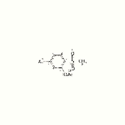 CC(=O)Oc1cc(C(C)=O)ccc1S(C)(=O)=O